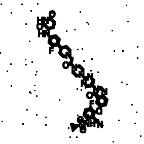 N#Cc1c(NS(=O)(=O)C2CC2)ccc(F)c1Oc1ccc2ncn(-c3cnc(N4CCN(C(=O)CN5CCC(c6ccc(N[C@@H]7CCC(=O)NC7=O)cc6F)CC5)CC4)nc3)c(=O)c2c1